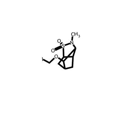 CN1C2C3CC(CC3S1(=O)=O)C2OCI